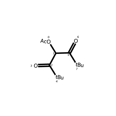 CC(=O)OC(C(=O)C(C)(C)C)C(=O)C(C)(C)C